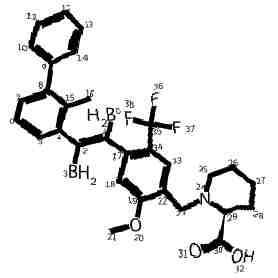 B/C(=C(/B)c1cccc(-c2ccccc2)c1C)c1cc(OC)c(CN2CCCC[C@H]2C(=O)O)cc1C(F)(F)F